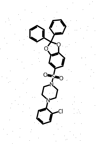 O=S(=O)(c1ccc2c(c1)OC(c1ccccc1)(c1ccccc1)O2)N1CCN(c2ccccc2Cl)CC1